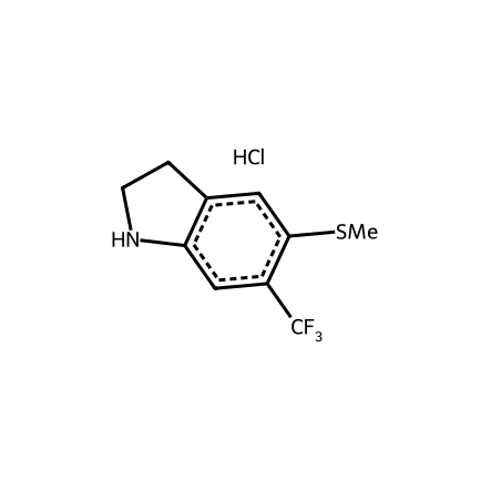 CSc1cc2c(cc1C(F)(F)F)NCC2.Cl